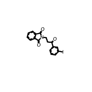 O=C(CCN1C(=O)c2ccccc2C1=O)c1cccc(I)c1